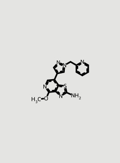 COc1ncc(-c2cnn(Cc3ccccn3)c2)c2sc(N)nc12